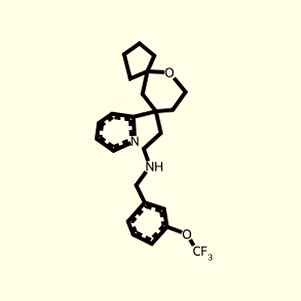 FC(F)(F)Oc1cccc(CNCCC2(c3ccccn3)CCOC3(CCCC3)C2)c1